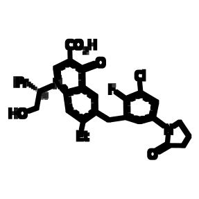 CCc1cc2c(cc1Cc1cc(N3CCCC3=O)cc(Cl)c1F)c(=O)c(C(=O)O)cn2[C@H](CO)C(C)C